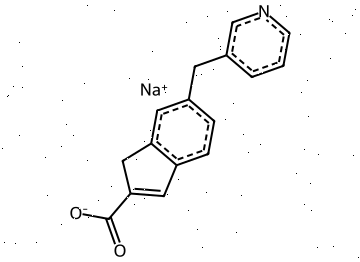 O=C([O-])C1=Cc2ccc(Cc3cccnc3)cc2C1.[Na+]